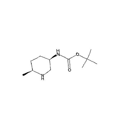 C[C@H]1CC[C@@H](NC(=O)OC(C)(C)C)CN1